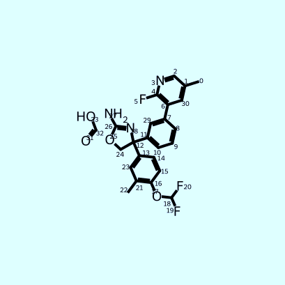 Cc1cnc(F)c(-c2cccc(C3(c4ccc(OC(F)F)c(C)c4)COC(N)=N3)c2)c1.O=CO